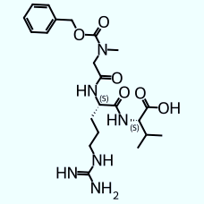 CC(C)[C@H](NC(=O)[C@H](CCCNC(=N)N)NC(=O)CN(C)C(=O)OCc1ccccc1)C(=O)O